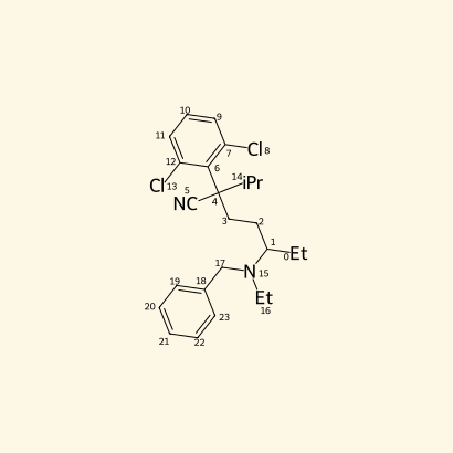 CCC(CCC(C#N)(c1c(Cl)cccc1Cl)C(C)C)N(CC)Cc1ccccc1